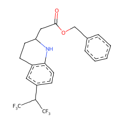 O=C(CC1CCc2cc(C(C(F)(F)F)C(F)(F)F)ccc2N1)OCc1ccccc1